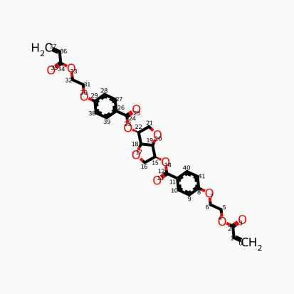 C=CC(=O)OCCOc1ccc(C(=O)O[C@H]2COC3C2OC[C@@H]3OC(=O)c2ccc(OCCOC(=O)C=C)cc2)cc1